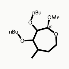 CCCCOC1C(C)CCO[C@H](OC)C1OCCCC